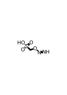 N=NOCS(=O)(=O)O